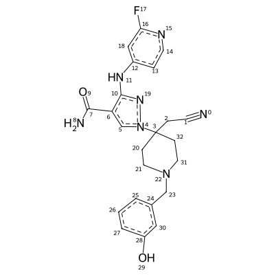 N#CCC1(n2cc(C(N)=O)c(Nc3ccnc(F)c3)n2)CCN(Cc2cccc(O)c2)CC1